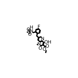 CCOC(=O)c1c(O)c2ncc(Cc3ccc(F)cc3CNS(C)(=O)=O)cc2n(C)c1=O